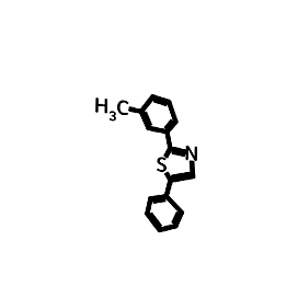 Cc1cccc(-c2ncc(-c3ccccc3)s2)c1